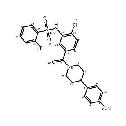 N#Cc1ccc(C2CCN(C(=O)c3ccc(Cl)c(NS(=O)(=O)c4ccccc4F)c3)CC2)cc1